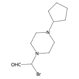 O=CC(Br)N1CCN(C2CCCC2)CC1